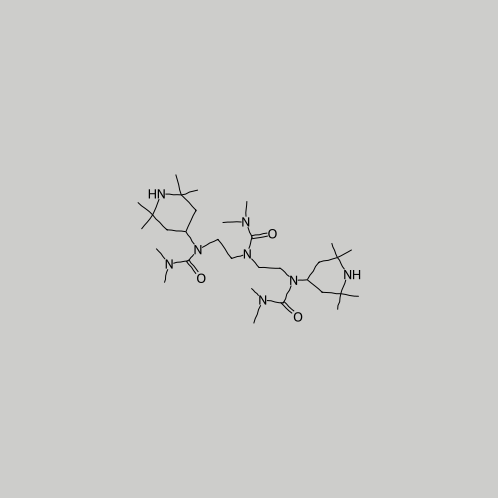 CN(C)C(=O)N(CCN(C(=O)N(C)C)C1CC(C)(C)NC(C)(C)C1)CCN(C(=O)N(C)C)C1CC(C)(C)NC(C)(C)C1